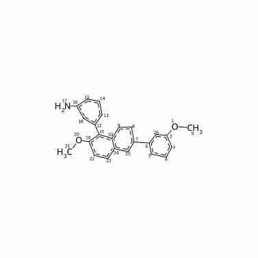 COc1cccc(-c2ccc3c(-c4cccc(N)c4)c(OC)ccc3c2)c1